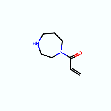 [CH]=CC(=O)N1CCCNCC1